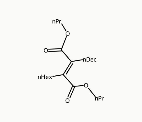 CCCCCCCCCCC(C(=O)OCCC)=C(CCCCCC)C(=O)OCCC